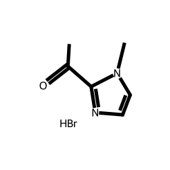 Br.CC(=O)c1nccn1C